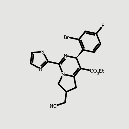 CCOC(=O)C1=C2CC(CC#N)CN2C(c2nccs2)=N[C@H]1c1ccc(F)cc1Br